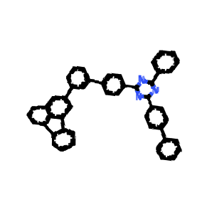 c1ccc(-c2ccc(-c3nc(-c4ccccc4)nc(-c4ccc(-c5cccc(-c6cc7c8c(cccc8c6)-c6ccccc6-7)c5)cc4)n3)cc2)cc1